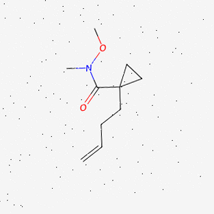 C=CCCC1(C(=O)N(C)OC)CC1